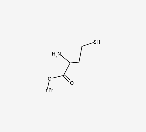 CCCOC(=O)C(N)CCS